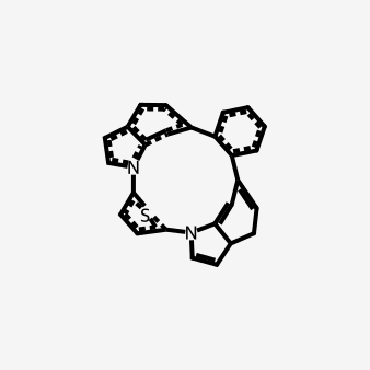 C1=CN2C3=CC(=CCC13)c1ccccc1-c1ccc3ccn(c3c1)-c1ccc2s1